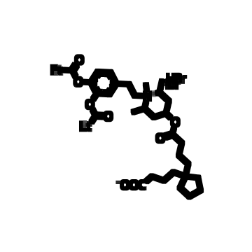 Br.Br.CCC(=O)Oc1ccc(CC[N+]2(C)C(C)CC(OC(=O)CCCC3(CCCC(=O)[O-])CCCC3)CC2C)cc1OC(=O)CC